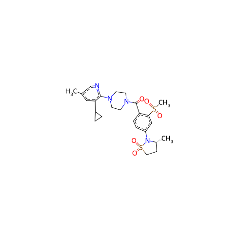 Cc1cnc(N2CCN(C(=O)c3ccc(N4[C@H](C)CCS4(=O)=O)cc3S(C)(=O)=O)CC2)c(C2CC2)c1